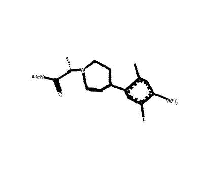 CNC(=O)[C@H](C)N1CCC(c2cc(F)c(N)cc2C)CC1